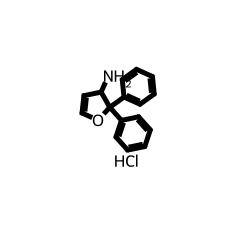 Cl.NC1C=COC1(c1ccccc1)c1ccccc1